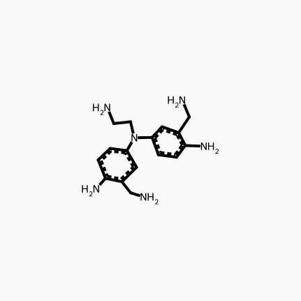 NCCN(c1ccc(N)c(CN)c1)c1ccc(N)c(CN)c1